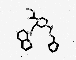 CC(C)(C)OC(=O)N1CCN(C(=O)OCc2ccccc2)CC1CN[C@H]1CCCc2cccnc21